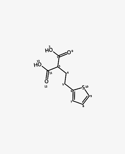 O=C(O)C(CCc1cccs1)C(=O)O